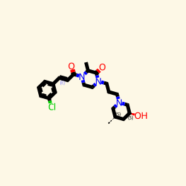 CC1C(=O)N(CCCN2C[C@@H](C)C[C@H](O)C2)CCN1C(=O)/C=C/c1cccc(Cl)c1